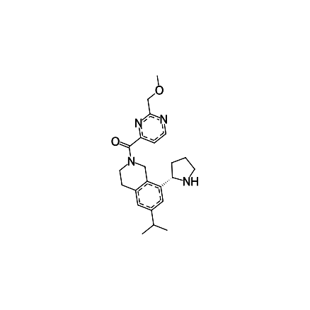 COCc1nccc(C(=O)N2CCc3cc(C(C)C)cc([C@@H]4CCCN4)c3C2)n1